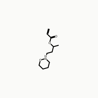 C=CC(=O)OC(C)CC[SiH]1CCCCO1